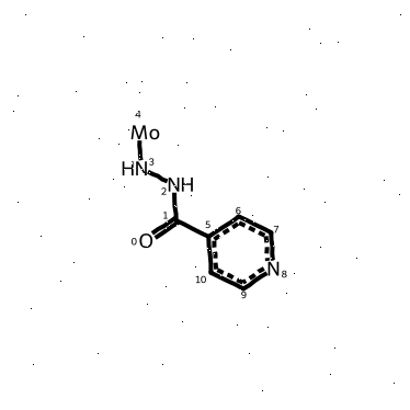 O=C(N[NH][Mo])c1ccncc1